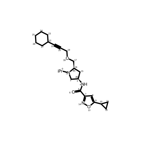 CC(C)N1C[C@H](NC(=O)c2cc(C3CC3)on2)C[C@@H]1COCC#CC1CCCCC1